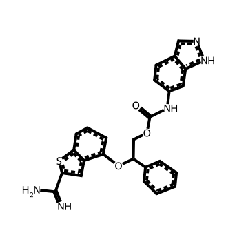 N=C(N)c1cc2c(OC(COC(=O)Nc3ccc4cn[nH]c4c3)c3ccccc3)cccc2s1